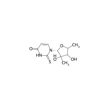 CC1O[C@@H](n2ccc(=O)[nH]c2=S)C(C)(O)C1O